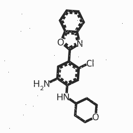 Nc1cc(-c2nc3ccccc3o2)c(Cl)cc1NC1CCOCC1